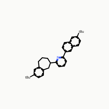 CC(C)(C)c1ccc2c(c1)CCCC(c1cccc(-c3ccc4cc(C(C)(C)C)ccc4c3)n1)C2